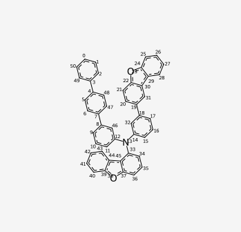 c1ccc(-c2ccc(-c3cccc(N(c4cccc(-c5ccc6oc7ccccc7c6c5)c4)c4cccc5oc6ccccc6c45)c3)cc2)cc1